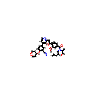 CCCC1CN(C(=O)c2ccc(-c3cc4nccc(-c5ccc(OC6CCOCC6)c(C#N)c5)c4o3)c(OC)c2)C(C)CO1